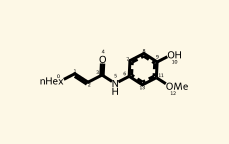 CCCCCCC=CC(=O)Nc1ccc(O)c(OC)c1